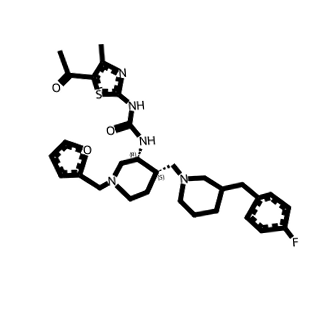 CC(=O)c1sc(NC(=O)N[C@H]2CN(Cc3ccco3)CC[C@H]2CN2CCCC(Cc3ccc(F)cc3)C2)nc1C